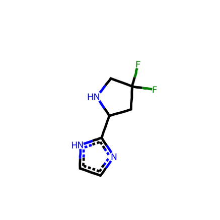 FC1(F)CNC(c2ncc[nH]2)C1